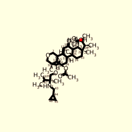 CC(=O)O[C@@H]1C[C@@]23COC[C@](C)([C@@H]2CC[C@H]2C3=CC(=O)[C@@]3(C)[C@H](C(=O)O)[C@@](C)([C@H](C)C(C)C)CC[C@]23C)[C@H]1OC[C@@](C)(NCC1CC1)C(C)C